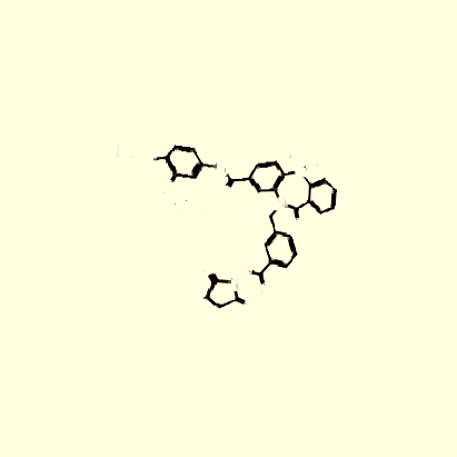 COc1ccc(NC(=O)c2ccc3c(c2)N(Cc2cccc(C(=O)ON4C(=O)CCC4=O)c2)C(=O)c2ccccc2S3(=O)=O)cc1OC